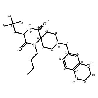 CCCCN1C(=O)[C@@H](CC(C)(C)C)NC(=O)C12CCN(Cc1ccc3c(c1)OCCO3)CC2